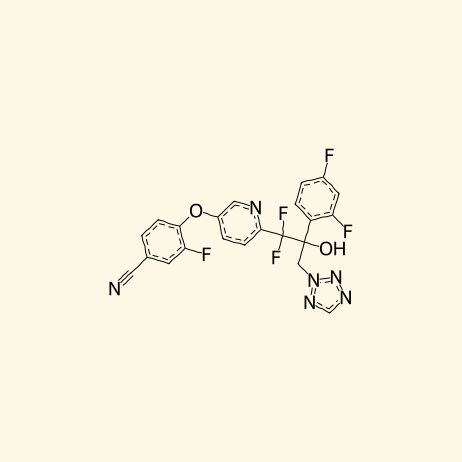 N#Cc1ccc(Oc2ccc(C(F)(F)C(O)(Cn3ncnn3)c3ccc(F)cc3F)nc2)c(F)c1